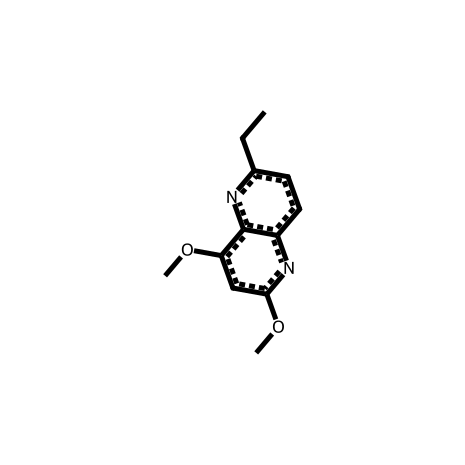 CCc1ccc2nc(OC)cc(OC)c2n1